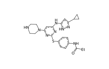 CCC(=O)Nc1ccc(Sc2nc(Nc3cc(C4CC4)n[nH]3)cc(N3CCNCC3)n2)cc1